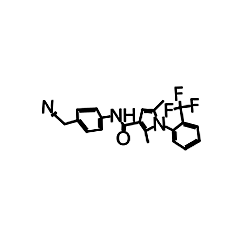 Cc1cc(C(=O)Nc2ccc(CC#N)cc2)c(C)n1-c1ccccc1C(F)(F)F